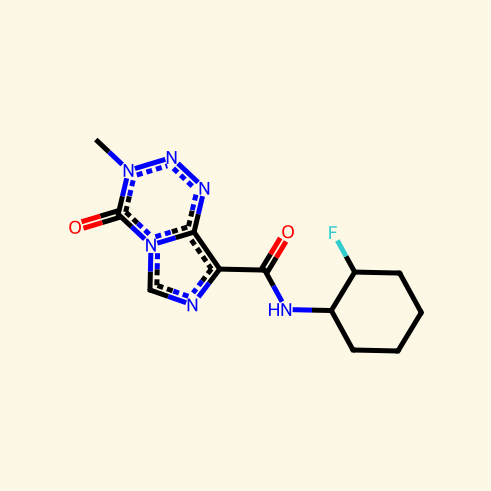 Cn1nnc2c(C(=O)NC3CCCCC3F)ncn2c1=O